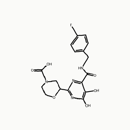 O=C(NCc1ccc(F)cc1)c1nc(C2CN(C(=O)O)CCO2)nc(O)c1O